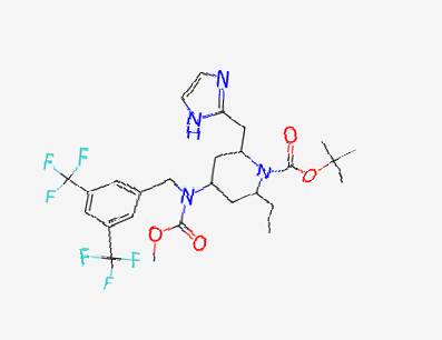 CCC1CC(N(Cc2cc(C(F)(F)F)cc(C(F)(F)F)c2)C(=O)OC)CC(Cc2ncc[nH]2)N1C(=O)OC(C)(C)C